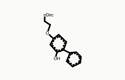 CCCCCCCCCCCCOc1ccc(-c2ccccc2)c(O)c1